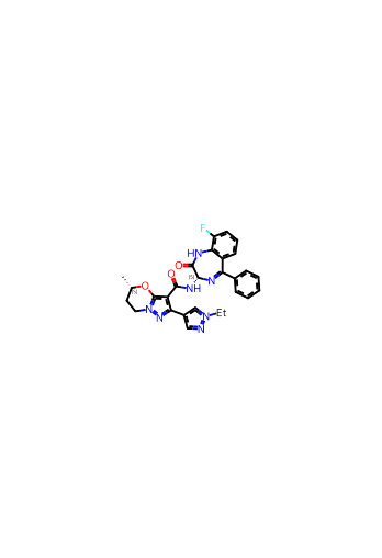 CCn1cc(-c2nn3c(c2C(=O)N[C@H]2N=C(c4ccccc4)c4cccc(F)c4NC2=O)O[C@@H](C)CC3)cn1